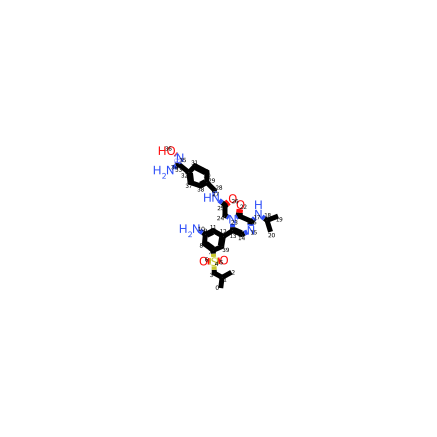 CC(C)CS(=O)(=O)c1cc(N)cc(-c2cnc(NC(C)C)c(=O)n2CC(=O)NCc2ccc(/C(N)=N/O)cc2)c1